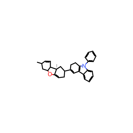 CC1C=CC2C(C1)OC1=CCC(C3=Cc4c(n(-c5ccccc5)c5ccccc45)CC3)C[C@@]12C